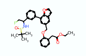 CCOC(=O)Cc1ccccc1OCc1cc(-c2cccc(C(CF)N[S@+]([O-])C(C)(C)C)c2)c2occc2c1